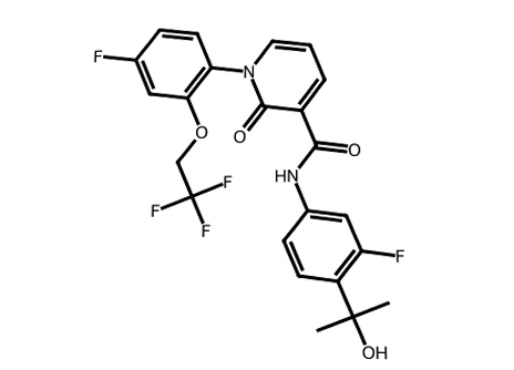 CC(C)(O)c1ccc(NC(=O)c2cccn(-c3ccc(F)cc3OCC(F)(F)F)c2=O)cc1F